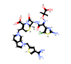 CC(C)(O/N=C(\C(=O)N[C@@H]1C(=O)N2C(C(=O)[O-])=C(C[n+]3ccc4ccn(Cc5cc(C(=N)N)cs5)c4c3)CS[C@H]12)c1nc(N)sc1Cl)C(=O)O